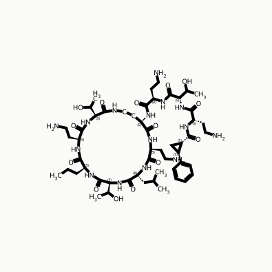 CCC[C@@H]1NC(=O)[C@H](C(C)O)NC(=O)[C@@H](CC(C)C)NC(=O)[C@H](CCN)NC(=O)[C@@H](NC(=O)[C@@H](CCN)NC(=O)[C@@H](NC(=O)[C@H](CCN)NC(=O)[C@H]2C[C@@H]2c2ccccc2)C(C)O)CCNC(=O)[C@H](C(C)O)NC(=O)[C@H](CCN)NC1=O